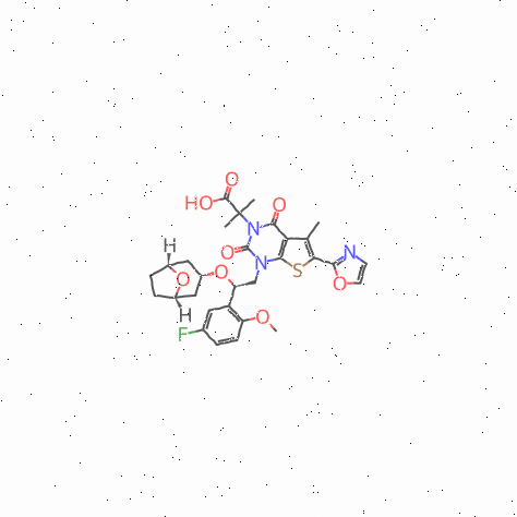 COc1ccc(F)cc1[C@H](Cn1c(=O)n(C(C)(C)C(=O)O)c(=O)c2c(C)c(-c3ncco3)sc21)O[C@@H]1C[C@H]2CC[C@@H](C1)O2